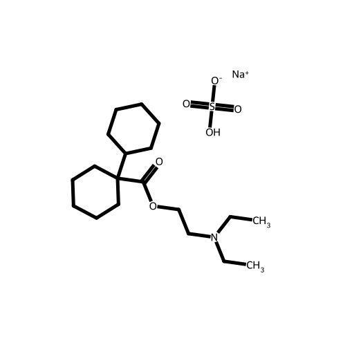 CCN(CC)CCOC(=O)C1(C2CCCCC2)CCCCC1.O=S(=O)([O-])O.[Na+]